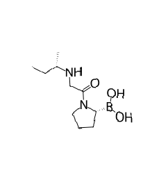 CC[C@H](C)NCC(=O)N1CCC[C@H]1B(O)O